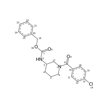 O=C(NC1CCCN(C(=O)c2ccc(Cl)cc2)C1)OCc1ccccc1